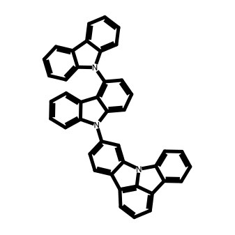 c1ccc2c(c1)c1ccccc1n2-c1cccc2c1c1ccccc1n2-c1ccc2c3cccc4c5ccccc5n(c2c1)c43